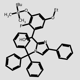 CCOc1cc(O[Si](C)(C)C(C)(C)C)c(F)c(C(O)c2nc(-c3ccccc3)cn2C(c2ccccc2)(c2ccccc2)c2ccccc2)c1